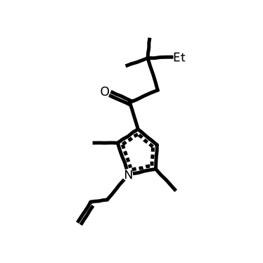 C=CCn1c(C)cc(C(=O)CC(C)(C)CC)c1C